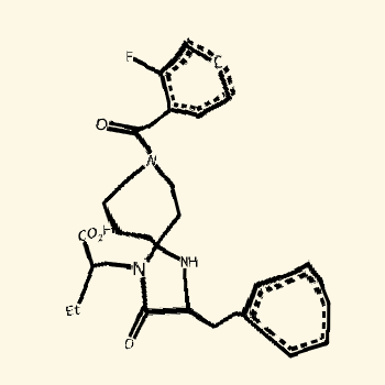 CCC(C(=O)O)N1C(=O)C(Cc2ccccc2)NC12CCN(C(=O)c1ccccc1F)CC2